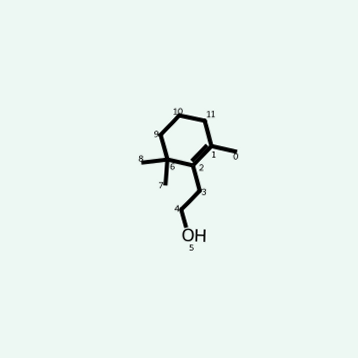 CC1=C(CCO)C(C)(C)CCC1